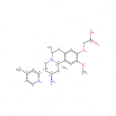 COc1cc2c(cc1OCC(=O)O)CCN1C[C@@H](c3cc(C)ccn3)[C@H](N)C[C@H]21.Cl